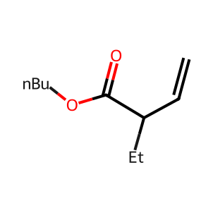 C=CC(CC)C(=O)OCCCC